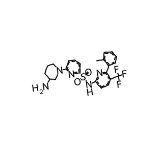 Cc1ccccc1-c1nc(NS(=O)(=O)c2cccc(N3CCCC(N)C3)n2)ccc1C(F)(F)F